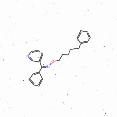 c1ccc(CCCCCON=C(c2ccccc2)c2cccnc2)cc1